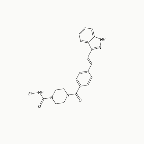 CCNC(=O)N1CCN(C(=O)c2ccc(/C=C/c3n[nH]c4ccccc34)cc2)CC1